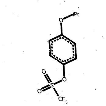 CC(C)Oc1ccc(OS(=O)(=O)C(F)(F)F)cc1